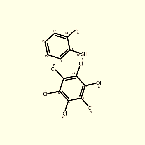 Oc1c(Cl)c(Cl)c(Cl)c(Cl)c1Cl.Sc1ccccc1Cl